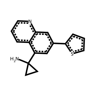 NC1(c2cc(-c3cccs3)cc3ncccc23)CC1